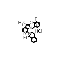 CCC1c2ccccc2CCN1c1nccc2c(C)c(C)n(Cc3cccc(F)c3)c12.Cl